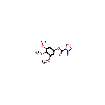 COc1cc(OC(=O)C2COCN2)cc(OC)c1OC